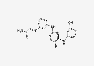 NC(=O)/C=N/c1cccc(Nc2ncc(F)c(Nc3cccc(O)c3)n2)c1